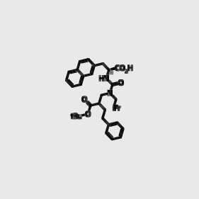 CC(C)CN(CC(CCc1ccccc1)C(=O)OC(C)(C)C)C(=O)N[C@@H](Cc1ccc2ccccc2c1)C(=O)O